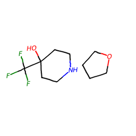 C1CCOC1.OC1(C(F)(F)F)CCNCC1